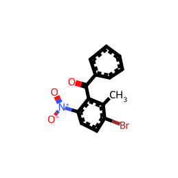 Cc1c(Br)ccc([N+](=O)[O-])c1C(=O)c1ccccc1